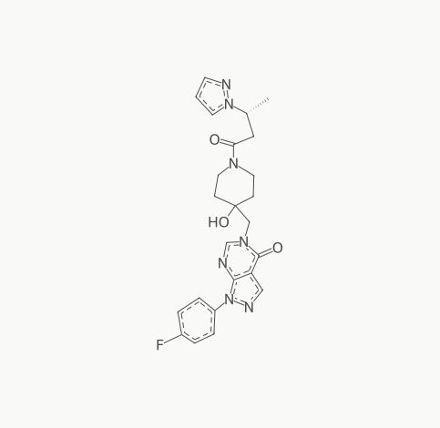 C[C@H](CC(=O)N1CCC(O)(Cn2cnc3c(cnn3-c3ccc(F)cc3)c2=O)CC1)n1cccn1